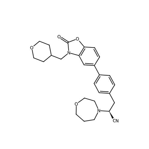 N#C[C@H](Cc1ccc(-c2ccc3oc(=O)n(CC4CCOCC4)c3c2)cc1)N1CCCOCC1